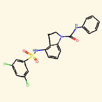 O=C(Nc1ccccc1)N1CCc2c(NS(=O)(=O)c3cc(Cl)cc(Cl)c3)cccc21